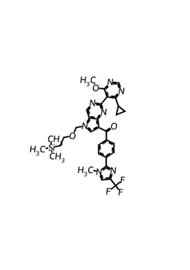 COc1ncnc(C2CC2)c1-c1ncc2c(n1)c(C(=O)c1ccc(-c3nc(C(F)(F)F)cn3C)cc1)cn2COCC[Si](C)(C)C